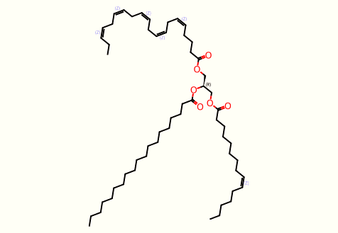 CC/C=C\C/C=C\C/C=C\C/C=C\C/C=C\CCCC(=O)OC[C@@H](COC(=O)CCCCCCC/C=C\CCCCC)OC(=O)CCCCCCCCCCCCCCCCCC